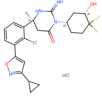 C[C@@]1(c2cccc(-c3cc(C4CC4)no3)c2Cl)CC(=O)N([C@H]2CCC(F)(F)[C@@H](O)C2)C(=N)N1.Cl